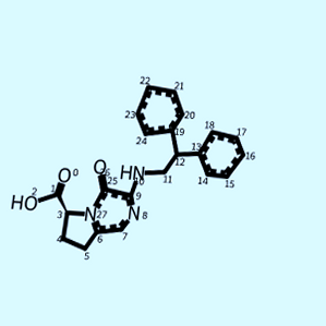 O=C(O)[C@@H]1CCc2cnc(NCC(c3ccccc3)c3ccccc3)c(=O)n21